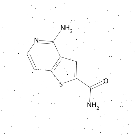 NC(=O)c1cc2c(N)nccc2s1